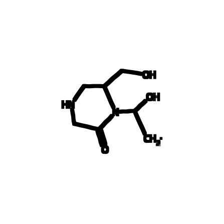 [CH2]C(O)N1C(=O)CNCC1CO